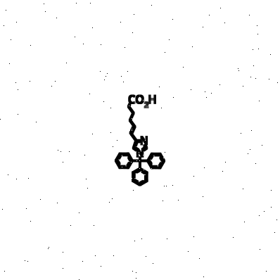 O=C(O)CCC/C=C/c1cn(C(c2ccccc2)(c2ccccc2)c2ccccc2)cn1